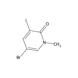 Cn1cc(Br)cc(I)c1=O